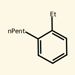 [CH2]Cc1ccccc1CCCCC